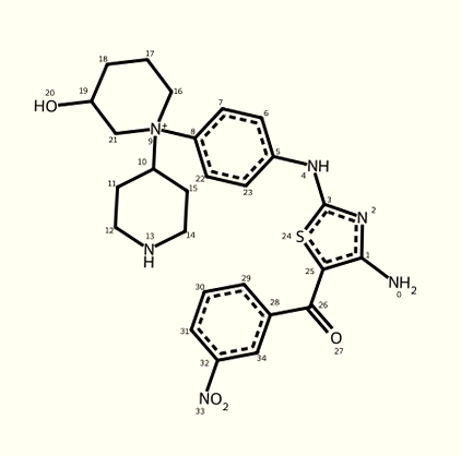 Nc1nc(Nc2ccc([N+]3(C4CCNCC4)CCCC(O)C3)cc2)sc1C(=O)c1cccc([N+](=O)[O-])c1